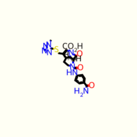 Cn1nnnc1SCC1=C(C(=O)O)N2C(=O)[C@@H]3[C@H]2C1CCN3C(=O)Nc1ccc(C(N)=O)cc1